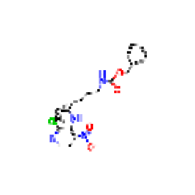 C[C@@H](CCCCNC(=O)OCc1ccccc1)Nc1c([N+](=O)[O-])ccnc1Cl